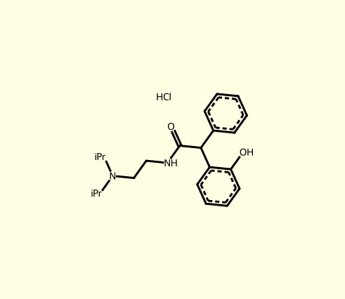 CC(C)N(CCNC(=O)C(c1ccccc1)c1ccccc1O)C(C)C.Cl